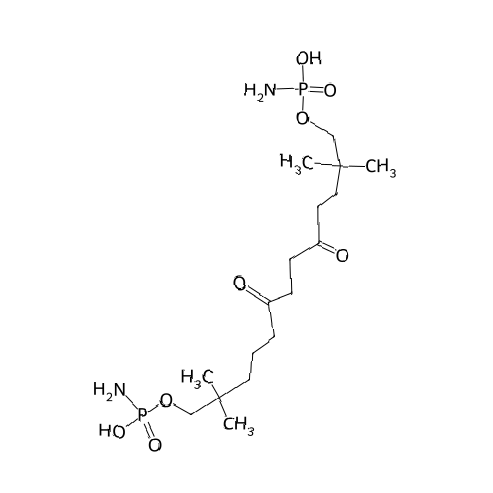 CC(C)(CCCC(=O)CCC(=O)CCC(C)(C)COP(N)(=O)O)COP(N)(=O)O